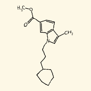 COC(=O)c1ccc2c(C)cn(CCCC3CCCCC3)c2c1